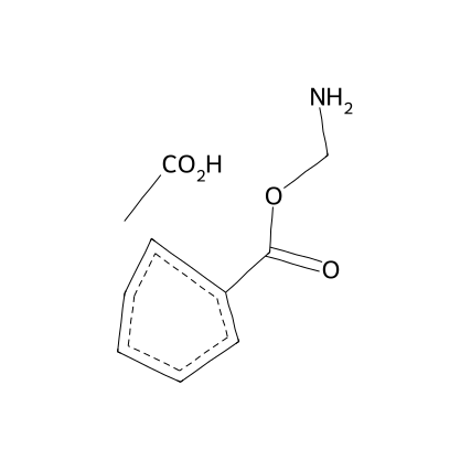 CC(=O)O.NCOC(=O)c1ccccc1